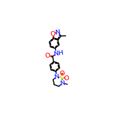 Cc1noc2ccc(NC(=O)c3ccc(N4CCCN(C)S4(=O)=O)cc3)cc12